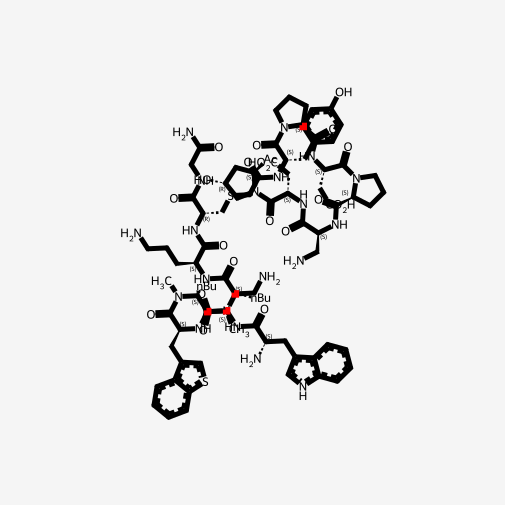 CCCC[C@@H](C(=O)N(C)[C@@H](CCCC)C(=O)N[C@@H](CCCN)C(=O)N[C@@H](CSCC(=O)N[C@@H](Cc1ccc(O)cc1)C(=O)N1CCC[C@H]1C(=O)N[C@@H](CC(=O)O)C(=O)N1CCC[C@H]1C(=O)N[C@@H](CN)C(=O)N[C@@H](CC(=O)O)C(=O)N1C[C@H](O)C[C@H]1C(C)=O)C(=O)NCC(N)=O)N(C)C(=O)[C@H](Cc1csc2ccccc12)NC(=O)[C@H](CCN)NC(=O)[C@@H](N)Cc1c[nH]c2ccccc12